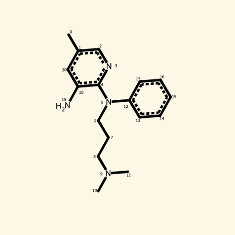 Cc1cnc(N(CCCN(C)C)c2ccccc2)c(N)c1